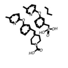 CCCC.Cc1ccc(Oc2cccc(C=C3CCN(C(=O)O)CC3)c2)nc1.Cc1ccc(Oc2cccc(CP(=O)(O)O)c2)nc1